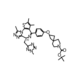 Cc1sc2c(c1C)C(c1ccc(OC3CC4(CCN(C(=O)OC(C)(C)C)CC4)C3)cc1)=N[C@@H](Cc1nnn(C)n1)c1nnc(C)n1-2